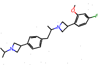 COc1cc(F)ccc1C1CN(C(C)Cc2ccc(C3CN(C(C)C)C3)cc2)C1